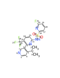 CC(C)c1ccncc1-c1nc(NS(=O)(=O)c2cccc(F)n2)ccc1C(F)(F)F